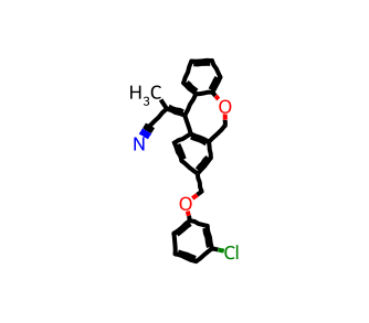 CC(C#N)=C1c2ccc(COc3cccc(Cl)c3)cc2COc2ccccc21